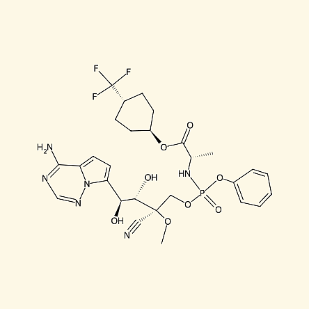 CO[C@](C#N)(COP(=O)(N[C@@H](C)C(=O)O[C@H]1CC[C@H](C(F)(F)F)CC1)Oc1ccccc1)[C@@H](O)[C@@H](O)c1ccc2c(N)ncnn12